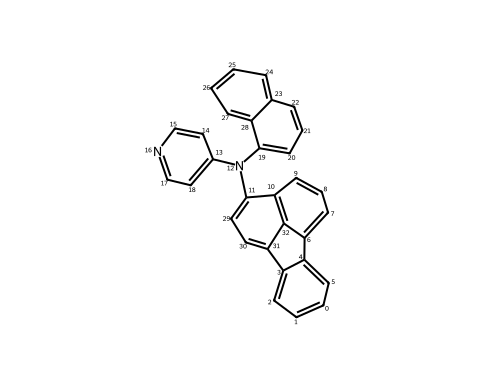 c1ccc2c(c1)-c1cccc3c(N(c4ccncc4)c4cccc5ccccc45)ccc-2c13